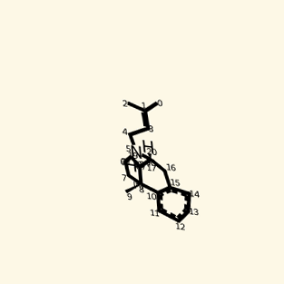 CC(C)=CCN1CC[C@@]2(C)c3ccccc3C[C@@H]1[C@H]2C